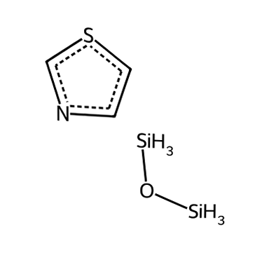 [SiH3]O[SiH3].c1cscn1